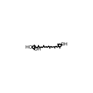 C=C1C[C@@H](O)CC(C)(C)[C@]1(O)/C=C/C(C)=C/C=C/C(C)=C/C=C/C=C(C)/C=C/C=C(C)/C=C/C1=C(C)CC(O)CC1(C)C